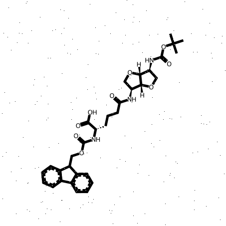 CC(C)(C)OC(=O)N[C@H]1CO[C@H]2[C@@H]1OC[C@@H]2NC(=O)CCC[C@H](NC(=O)OCC1c2ccccc2-c2ccccc21)C(=O)O